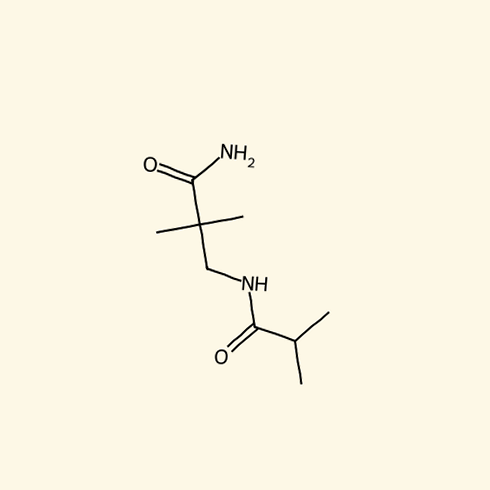 CC(C)C(=O)NCC(C)(C)C(N)=O